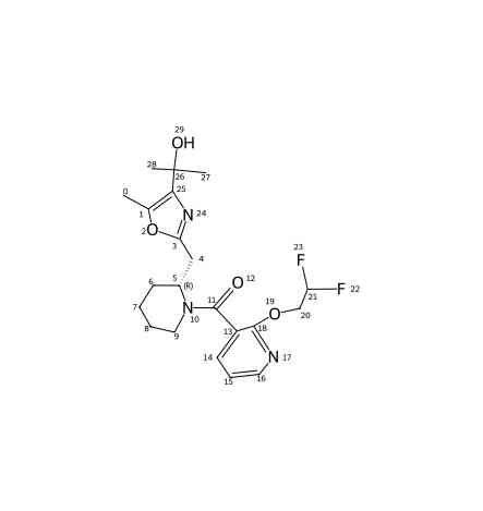 Cc1oc(C[C@H]2CCCCN2C(=O)c2cccnc2OCC(F)F)nc1C(C)(C)O